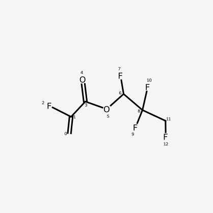 C=C(F)C(=O)OC(F)C(F)(F)CF